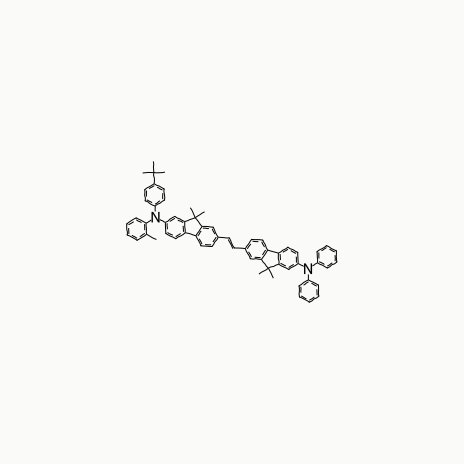 Cc1ccccc1N(c1ccc(C(C)(C)C)cc1)c1ccc2c(c1)C(C)(C)c1cc(/C=C/c3ccc4c(c3)C(C)(C)c3cc(N(c5ccccc5)c5ccccc5)ccc3-4)ccc1-2